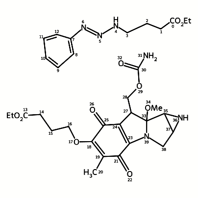 CCOC(=O)CCCNN=Nc1ccccc1.CCOC(=O)CCCOC1=C(C)C(=O)C2=C(C1=O)C(COC(N)=O)C1(OC)C3NC3CN21